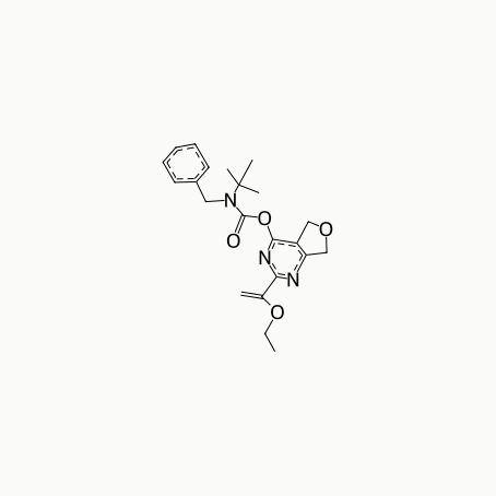 C=C(OCC)c1nc2c(c(OC(=O)N(Cc3ccccc3)C(C)(C)C)n1)COC2